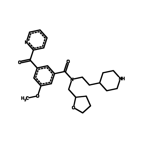 COc1cc(C(=O)c2ccccn2)cc(C(=O)N(CCC2CCNCC2)CC2CCCO2)c1